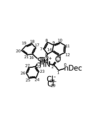 CCCCCCCCCCCC(=O)[NH][Ti+2]([CH]1C=Cc2ccccc21)[SiH](c1ccccc1)c1ccccc1.[Cl-].[Cl-]